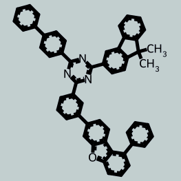 CC1(C)c2ccccc2-c2cc(-c3nc(-c4ccc(-c5ccccc5)cc4)nc(-c4cccc(-c5ccc6c(c5)oc5cccc(-c7ccccc7)c56)c4)n3)ccc21